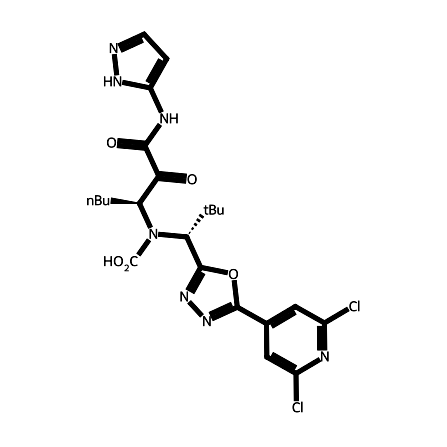 CCCC[C@@H](C(=O)C(=O)Nc1ccn[nH]1)N(C(=O)O)[C@@H](c1nnc(-c2cc(Cl)nc(Cl)c2)o1)C(C)(C)C